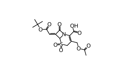 CC(=O)OCC1=C(C(=O)O)N2C(=O)C(=CC(=O)OC(C)(C)C)C2S(=O)(=O)C1